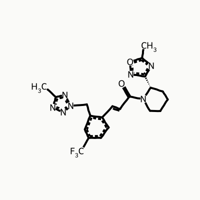 Cc1nnn(Cc2cc(C(F)(F)F)ccc2/C=C/C(=O)N2CCCC[C@H]2c2noc(C)n2)n1